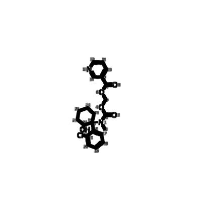 CN(C(=O)OCOC(=O)c1cccnc1)[C@@]1(c2ccccc2Cl)CCCCC1O